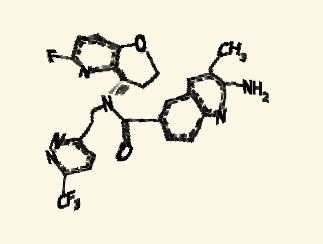 Cc1cc2cc(C(=O)N(Cc3ccc(C(F)(F)F)nn3)[C@H]3CCOc4ccc(F)nc43)ccc2nc1N